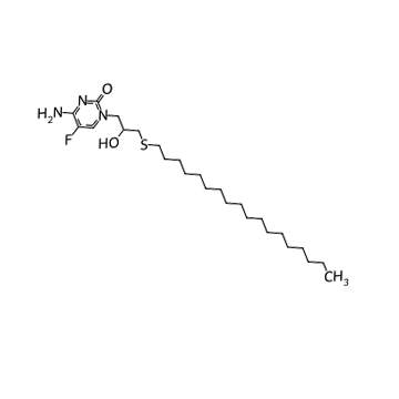 CCCCCCCCCCCCCCCCCCSCC(O)Cn1cc(F)c(N)nc1=O